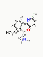 CN1CC[C@@H]1COc1ccc(F)nc1.Cc1ccc(S(=O)(=O)O)cc1